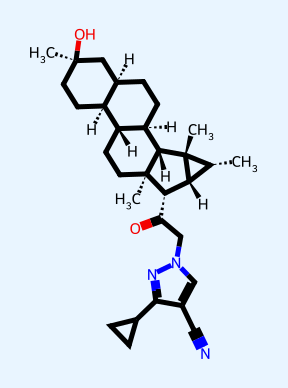 C[C@@H]1[C@@H]2[C@H](C(=O)Cn3cc(C#N)c(C4CC4)n3)[C@@]3(C)CC[C@H]4[C@@H](CC[C@@H]5C[C@](C)(O)CC[C@@H]54)[C@@H]3[C@@]21C